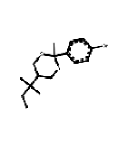 CCC(C)(C)C1CSC(C)(c2ccc(Br)cc2)SC1